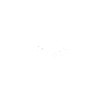 COC(=O)c1ccc2[nH]cc(CC(C)NC(C)c3ccccc3)c2c1